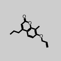 C=CCOc1ccc2c(CCC)cc(=O)oc2c1C